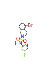 O=S(=O)(Nc1ncc(F)s1)N1CCc2c(Br)cccc2C1